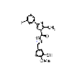 COc1ccc(/C=N/NC(=O)c2sc(-c3cccc(F)c3)nc2C)cc1O